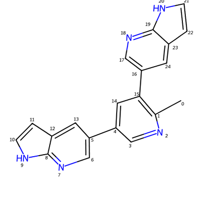 Cc1ncc(-c2cnc3[nH]ccc3c2)cc1-c1cnc2[nH]ccc2c1